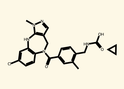 C1CC1.Cc1cc(C(=O)N2Cc3cnn(C)c3Nc3cc(Cl)ccc32)ccc1CNC(=O)O